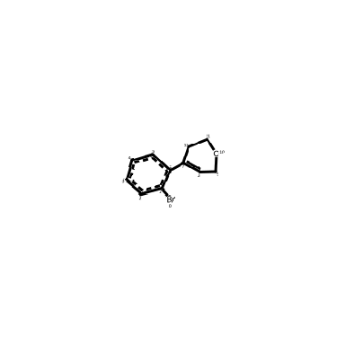 Brc1ccccc1C1=CCOCC1